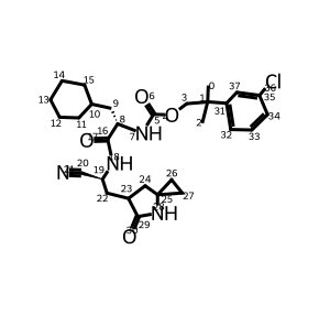 CC(C)(COC(=O)N[C@@H](CC1CCCCC1)C(=O)N[C@H](C#N)CC1CC2(CC2)NC1=O)c1cccc(Cl)c1